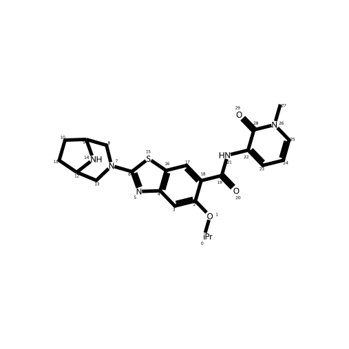 CC(C)Oc1cc2nc(N3CC4CCC(C3)N4)sc2cc1C(=O)Nc1cccn(C)c1=O